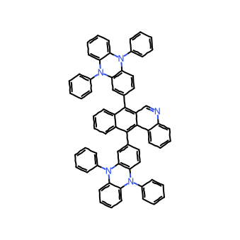 c1ccc(N2c3ccccc3N(c3ccccc3)c3cc(-c4c5ccccc5c(-c5ccc6c(c5)N(c5ccccc5)c5ccccc5N6c5ccccc5)c5c4cnc4ccccc45)ccc32)cc1